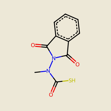 CN(C(=O)S)N1C(=O)c2ccccc2C1=O